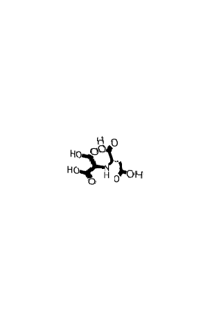 O=C(O)C[C@H](NC(C(=O)O)C(=O)O)C(=O)O